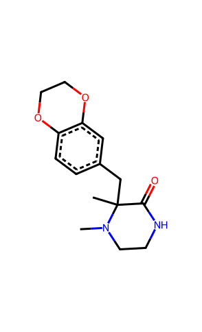 CN1CCNC(=O)C1(C)Cc1ccc2c(c1)OCCO2